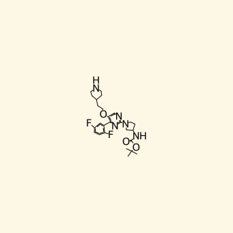 CC(C)(C)OC(=O)NC1CCN(c2ncc(OCCC3CCNCC3)c(-c3cc(F)ccc3F)n2)C1